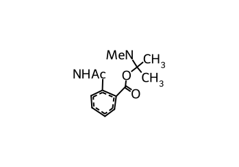 CNC(C)(C)OC(=O)c1ccccc1NC(C)=O